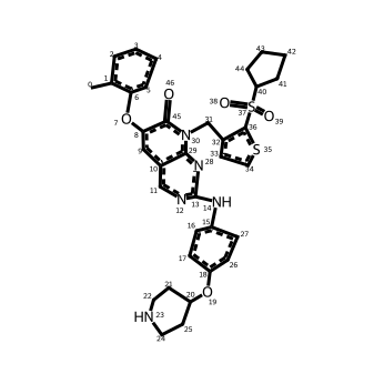 Cc1ccccc1Oc1cc2cnc(Nc3ccc(OC4CCNCC4)cc3)nc2n(Cc2ccsc2S(=O)(=O)C2CCCC2)c1=O